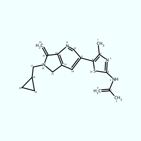 C=C(C)Nc1nc(C)c(-c2cnc3c(c2)CN(CC2CC2)C3=C)s1